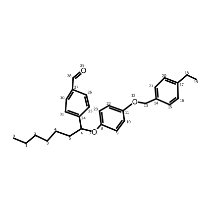 CCCCCCC(Oc1ccc(OCc2ccc(CC)cc2)cc1)c1ccc(C=O)cc1